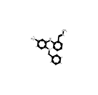 C/N=C/c1ccccc1Pc1cc(C)ccc1OCc1ccccc1